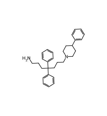 NCCCC(CCCN1CCC(c2ccccc2)CC1)(c1ccccc1)c1ccccc1